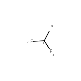 F[C](F)I